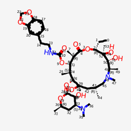 CC[C@H]1OC(=O)[C@H](C)[C@@H](OC(=O)NCCc2ccc3c(c2)OCO3)[C@H](C)[C@@H](O[C@@H]2O[C@H](C)C[C@H](N(C)C)[C@H]2O)[C@](C)(O)C[C@@H](C)CN(C)[C@H](C)[C@@H](O)[C@]1(C)O